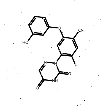 N#Cc1cc(F)c(-n2ncc(=O)[nH]c2=O)cc1Oc1cccc(O)c1